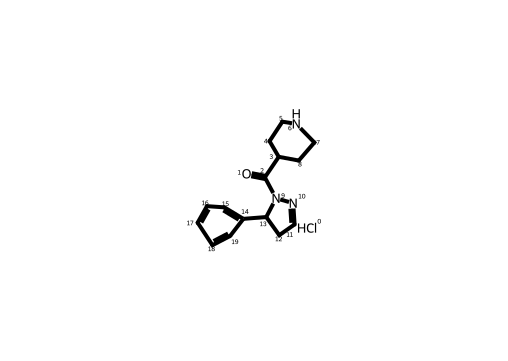 Cl.O=C(C1CCNCC1)N1N=CCC1c1ccccc1